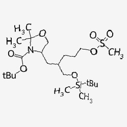 CC(C)(C)OC(=O)N1C(CC(CCCOS(C)(=O)=O)CO[Si](C)(C)C(C)(C)C)COC1(C)C